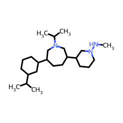 CNN1CCCC(C2CCC(C3CCCC(C(C)C)C3)CN(C(C)C)C2)C1